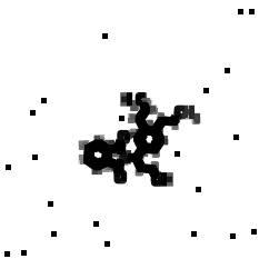 CCCc1ccc(C(CCO)N2C(=O)c3ccccc3C2=O)cc1CCC